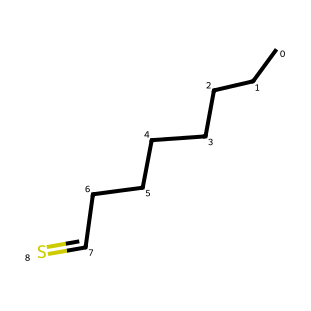 CCCCCCCC=S